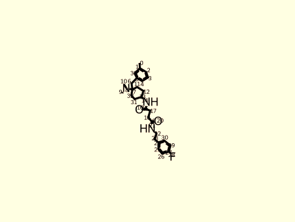 Cc1cccc(CC2(N(C)C)CCC(NC(=O)CCC(=O)NCCc3ccc(F)cc3)CC2)c1